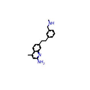 CNCc1cccc(CCc2ccc3c(C)cc(N)nc3c2)c1